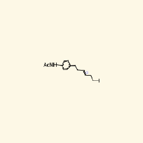 CC(=O)Nc1ccc(CC/C=C/CCI)cc1